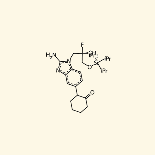 CC(C)[Si](OC[C@@](C)(F)Cn1c(N)nc2cc(C3CCCCC3=O)ccc21)(C(C)C)C(C)C